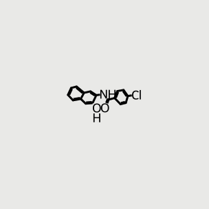 O=C(Nc1cc2ccccc2cc1O)c1ccc(Cl)cc1